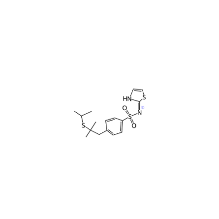 CC(C)SC(C)(C)Cc1ccc(S(=O)(=O)/N=c2\[nH]ccs2)cc1